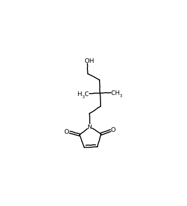 CC(C)(CCO)CCN1C(=O)C=CC1=O